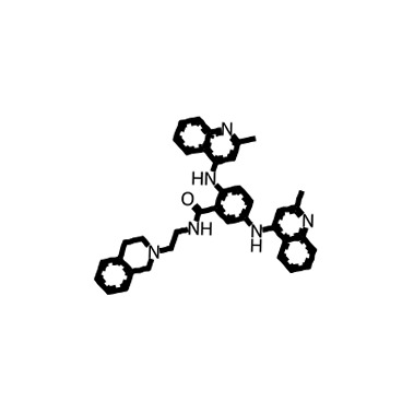 Cc1cc(Nc2ccc(Nc3cc(C)nc4ccccc34)c(C(=O)NCCN3CCc4ccccc4C3)c2)c2ccccc2n1